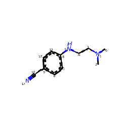 CN(C)CCNc1ccc(C#N)cc1